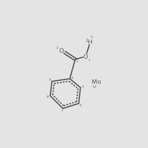 [2H]OC(=O)c1ccccc1.[Mo]